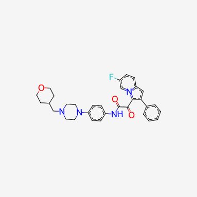 O=C(Nc1ccc(N2CCN(CC3CCOCC3)CC2)cc1)C(=O)c1c(-c2ccccc2)cc2ccc(F)cn12